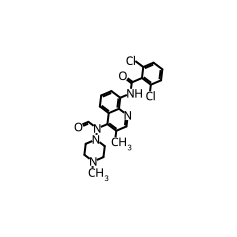 Cc1cnc2c(NC(=O)c3c(Cl)cccc3Cl)cccc2c1N(C=O)N1CCN(C)CC1